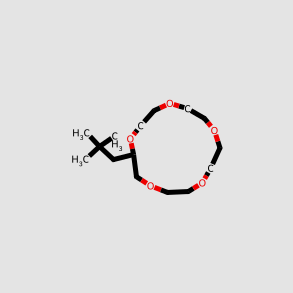 CC(C)(C)CC1COCCOCCOCCOCCO1